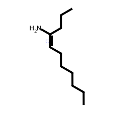 CCCCCC/C=C(/N)CCC